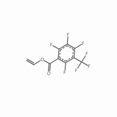 C=COC(=O)c1c(F)c(F)c(F)c(C(F)(F)F)c1F